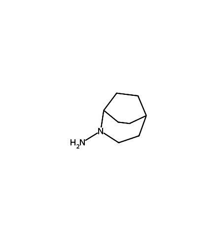 NN1CCC2CCC1CC2